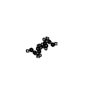 CCC(C(=O)c1ccc2c(c1)CCC(=O)N2OC(=O)C(=O)ON1C(=O)CCc2cc(C(=O)C(CC)N3CCN(c4cccc(Cl)c4)CC3)ccc21)N1CCN(c2cccc(Cl)c2)CC1